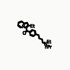 CCCN(CC)CCCCc1ccc(C(=O)c2c(CC)cc3ccccn23)cc1